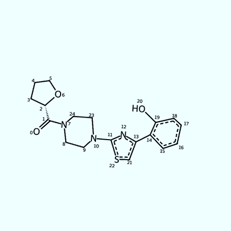 O=C([C@@H]1CCCO1)N1CCN(c2nc(-c3ccccc3O)cs2)CC1